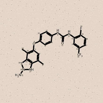 Cc1cc(Oc2ccc(NC(=O)Nc3cc(C(F)(F)F)ccc3F)cc2)c(C)c2c1NN(N)S2